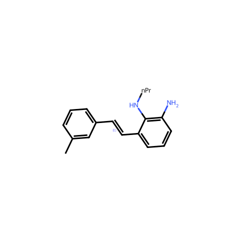 CCCNc1c(N)cccc1/C=C/c1cccc(C)c1